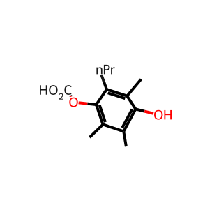 CCCc1c(C)c(O)c(C)c(C)c1OC(=O)O